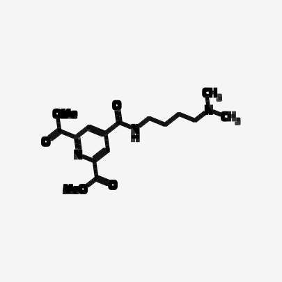 COC(=O)c1cc(C(=O)NCCCCN(C)C)cc(C(=O)OC)n1